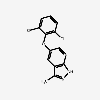 Cc1n[nH]c2ncc(Oc3c(Cl)cccc3Cl)cc12